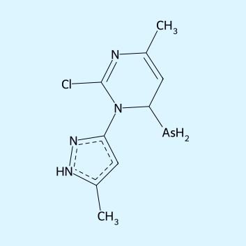 CC1=CC([AsH2])N(c2cc(C)[nH]n2)C(Cl)=N1